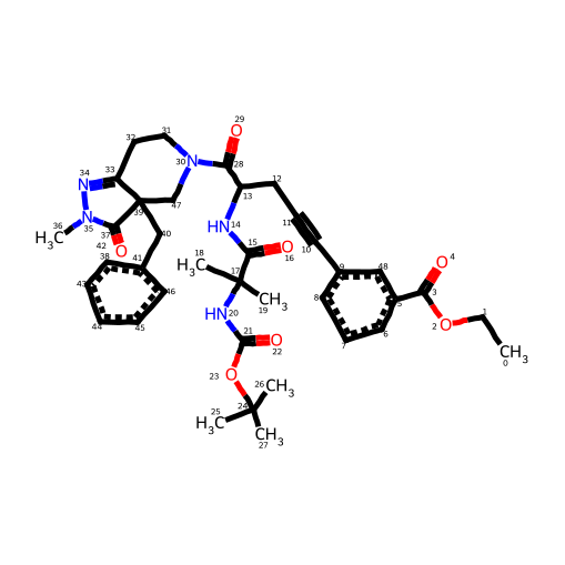 CCOC(=O)c1cccc(C#CCC(NC(=O)C(C)(C)NC(=O)OC(C)(C)C)C(=O)N2CCC3=NN(C)C(=O)C3(Cc3ccccc3)C2)c1